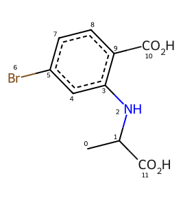 CC(Nc1cc(Br)ccc1C(=O)O)C(=O)O